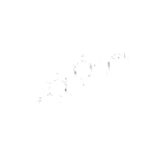 NC(=O)Cc1ccc(-c2ccc(F)cc2)cc1